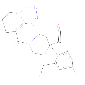 CCc1cc(O)cc(F)c1C1(C(C)=C=O)CCN(C(=O)C2=C(/N=C\N)N(C)CCC2)CC1